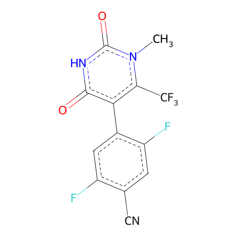 Cn1c(C(F)(F)F)c(-c2cc(F)c(C#N)cc2F)c(=O)[nH]c1=O